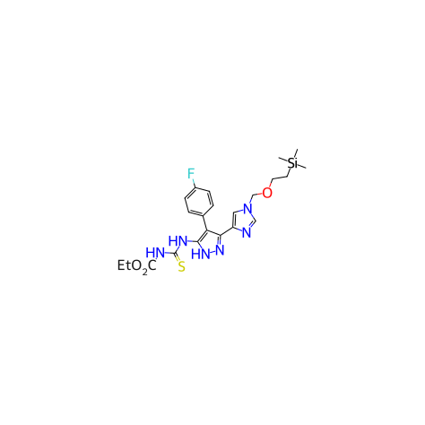 CCOC(=O)NC(=S)Nc1[nH]nc(-c2cn(COCC[Si](C)(C)C)cn2)c1-c1ccc(F)cc1